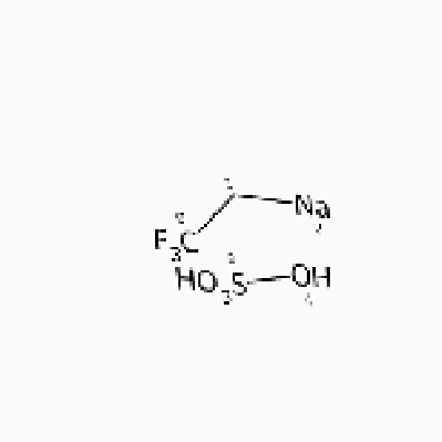 FC(F)(F)[CH2][Na].O=S(=O)(O)O